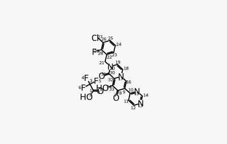 O=C(O)C(F)(F)F.O=c1c(-c2ccncn2)cn2ccn(Cc3cccc(Cl)c3F)c(=O)c2c1O